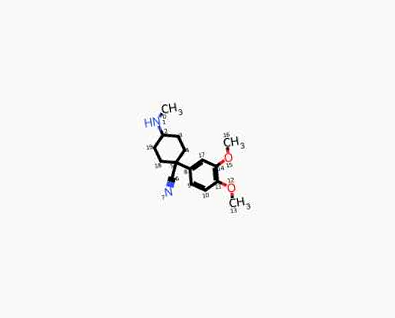 CNC1CCC(C#N)(c2ccc(OC)c(OC)c2)CC1